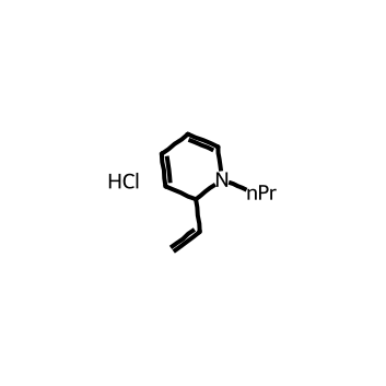 C=CC1C=CC=CN1CCC.Cl